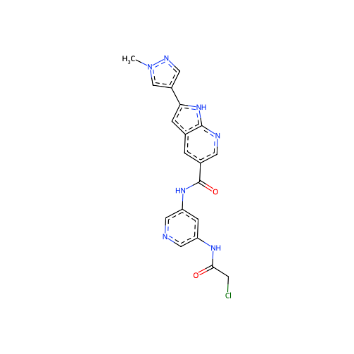 Cn1cc(-c2cc3cc(C(=O)Nc4cncc(NC(=O)CCl)c4)cnc3[nH]2)cn1